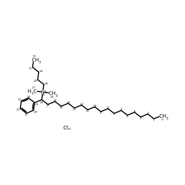 CCCCCCCCCCCCCCCCCCC(c1ccccc1)[N+](C)(C)CCCCC.[Cl-]